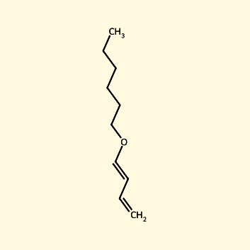 C=CC=COCCCCCC